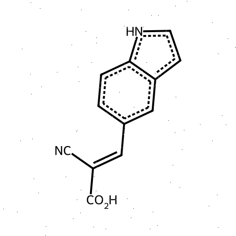 N#C/C(=C\c1ccc2[nH]ccc2c1)C(=O)O